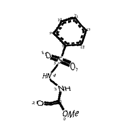 COC(=O)NNS(=O)(=O)c1ccccc1